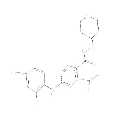 CC(C)c1cc(Nc2ccc(Cl)cc2Br)ncc1C(=O)NCC1CCOCC1